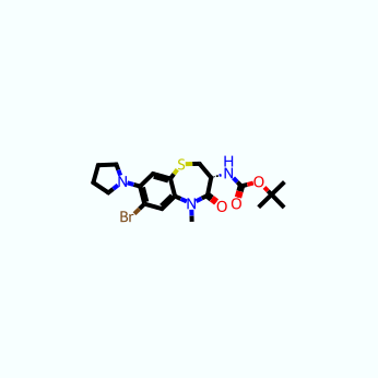 CN1C(=O)[C@@H](NC(=O)OC(C)(C)C)CSc2cc(N3CCCC3)c(Br)cc21